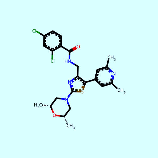 Cc1cc(-c2sc(N3C[C@@H](C)O[C@@H](C)C3)nc2CNC(=O)c2ccc(Cl)cc2Cl)cc(C)n1